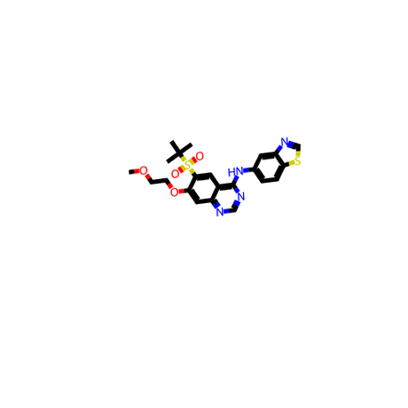 COCCOc1cc2ncnc(Nc3ccc4scnc4c3)c2cc1S(=O)(=O)C(C)(C)C